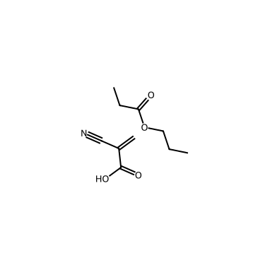 C=C(C#N)C(=O)O.CCCOC(=O)CC